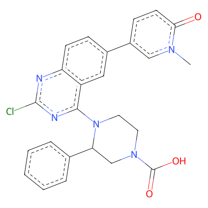 Cn1cc(-c2ccc3nc(Cl)nc(N4CCN(C(=O)O)CC4c4ccccc4)c3c2)ccc1=O